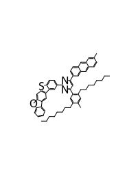 CCCCCCCCc1cc(-c2cc(-c3ccc4cc5cc(C)ccc5cc4c3)nc(-c3ccc4sc5cc6oc7ccccc7c6cc5c4c3)n2)c(CCCCCCCC)cc1C